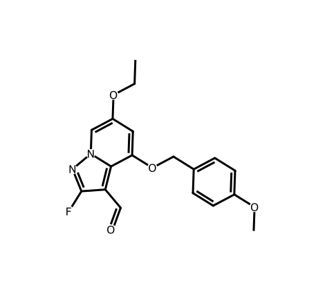 CCOc1cc(OCc2ccc(OC)cc2)c2c(C=O)c(F)nn2c1